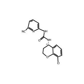 N#Cc1cccc(NC(=O)N[C@H]2CCOc3c(Cl)cccc32)n1